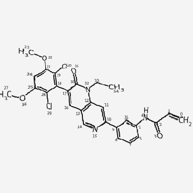 C=CC(=O)Nc1cccc(-c2cc3c(cn2)cc(-c2c(Cl)c(OC)cc(OC)c2Cl)c(=O)n3CC)c1